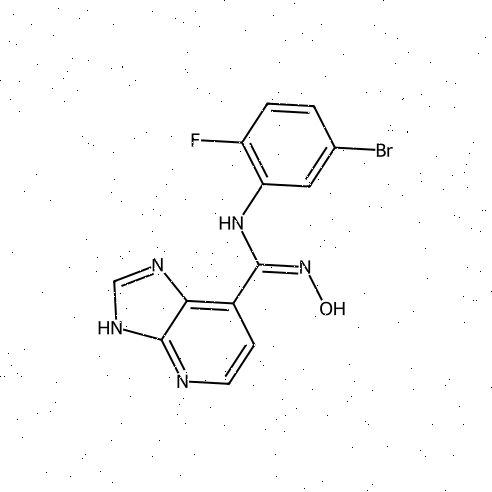 O/N=C(/Nc1cc(Br)ccc1F)c1ccnc2[nH]cnc12